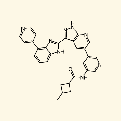 CC1CC(C(=O)Nc2cncc(-c3cnc4[nH]nc(-c5nc6c(-c7ccncc7)cccc6[nH]5)c4c3)c2)C1